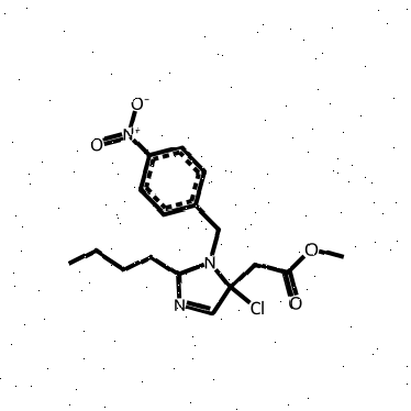 CCCCC1N=CC(Cl)(CC(=O)OC)N1Cc1ccc([N+](=O)[O-])cc1